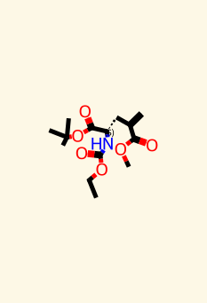 C=C(C[C@H](NC(=O)OCC)C(=O)OC(C)(C)C)C(=O)OC